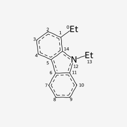 CCc1cccc2c3ccccc3n(CC)c12